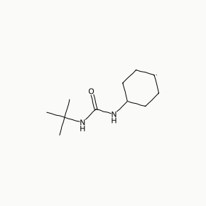 CC(C)(C)NC(=O)NC1CC[CH]CC1